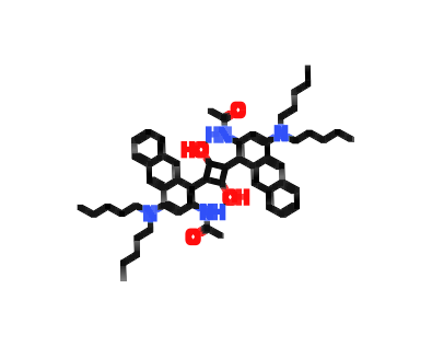 CCCCCN(CCCCC)c1cc(NC(C)=O)c(C2C(O)C(c3c(NC(C)=O)cc(N(CCCCC)CCCCC)c4cc5ccccc5cc34)C2O)c2cc3ccccc3cc12